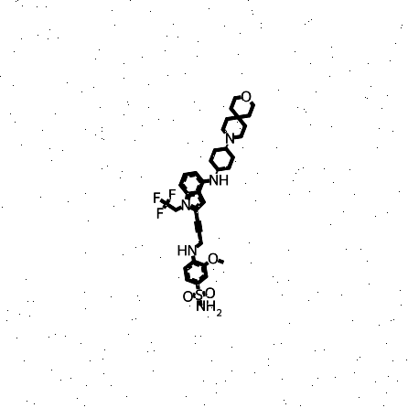 COc1cc(S(N)(=O)=O)ccc1NCC#Cc1cc2c(N[C@H]3CC[C@@H](N4CCC5(CCOCC5)CC4)CC3)cccc2n1CC(F)(F)F